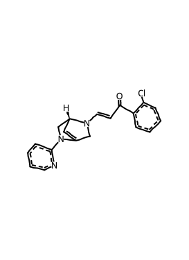 O=C(/C=C/N1CC2=C[C@@H]1CN2c1ccccn1)c1ccccc1Cl